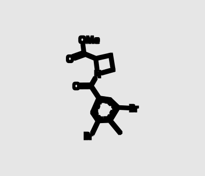 COC(=O)C1CCN1C(=O)c1cc(Br)c(C)c(Br)c1